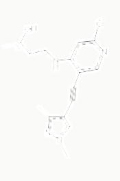 Cc1nn(C)cc1C#Cc1cnc(Cl)cc1NCC[C@H](C)O